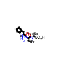 CC[C@H](C)[C@H](NC(=O)[C@H](CC(C)C)NC(=O)[C@@H](N)Cc1ccccc1)C(=O)O